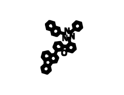 c1ccc(-c2nc(-c3ccc4ccccc4c3)nc(-c3cccc4oc5c(-c6ccc7c8c(cccc68)-c6ccccc6-7)cccc5c34)n2)cc1